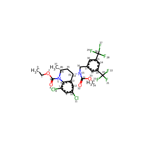 CCOC(=O)N1c2c(Cl)cc(Cl)cc2[C@@H](N(Cc2cc(C(F)(F)F)cc(C(F)(F)F)c2)C(=O)OC)C[C@H]1C